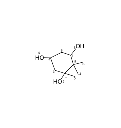 CC1(O)CC(O)CC(O)C1(C)C